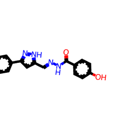 O=C(N/N=C/c1cc(-c2ccccc2)n[nH]1)c1ccc(O)cc1